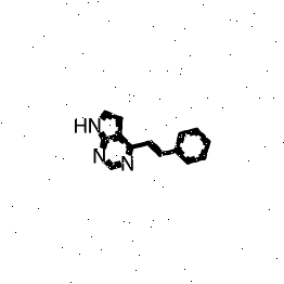 C(=C\c1ncnc2[nH]ccc12)/c1ccccc1